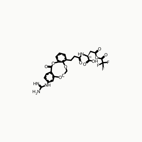 N=C(N)Nc1ccc2c(c1)OCCOc1c(CCC(=O)N[C@@H](CC(=O)OC(=O)C(F)(F)F)C(=O)O)cccc1OC2=O